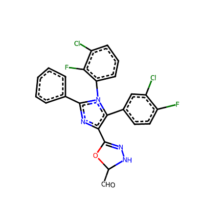 O=CC1NN=C(c2nc(-c3ccccc3)n(-c3cccc(Cl)c3F)c2-c2ccc(F)c(Cl)c2)O1